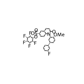 COc1ccc(-c2cccc(F)c2)cc1-n1c(=O)ccc2cc(S(=O)(=O)Oc3c(F)c(F)c(F)c(F)c3F)ccc21